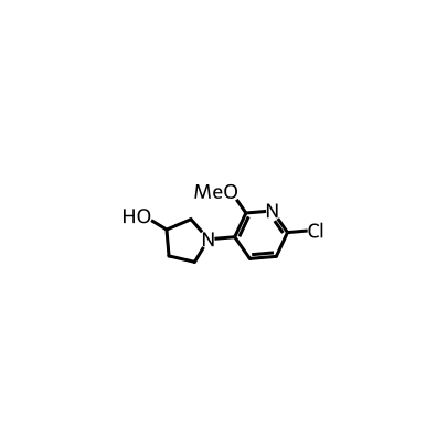 COc1nc(Cl)ccc1N1CCC(O)C1